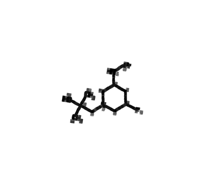 CC(C)NC1CC(F)CN(CC(C)(C)O)C1